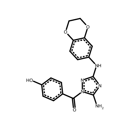 Nc1nc(Nc2ccc3c(c2)OCCO3)nn1C(=O)c1ccc(O)cc1